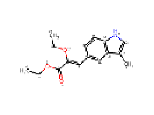 CCOC(=O)C(=Cc1ccc2[nH]cc(C)c2c1)OCC